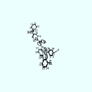 Cc1ccc(S(=O)(=O)N2[C@@H](COC(=O)N3CCC(NN4CCCCC4)CC3)CCC[C@H]2c2cccc(F)c2)cc1